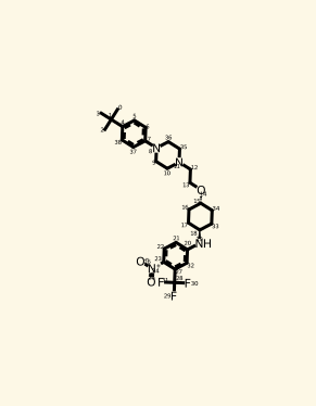 CC(C)(C)c1ccc(N2CCN(CCO[C@H]3CC[C@H](Nc4ccc([N+](=O)[O-])c(C(F)(F)F)c4)CC3)CC2)cc1